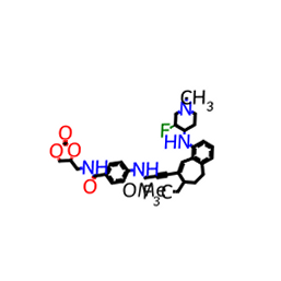 COc1cc(C(=O)NCC2COC(=O)O2)ccc1NCC#CC1=Cc2c(cccc2N[C@@H]2CCN(C)C[C@@H]2F)CCC1CC(F)(F)F